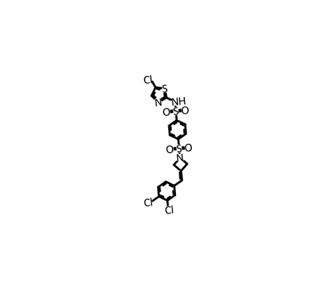 O=S(=O)(Nc1ncc(Cl)s1)c1ccc(S(=O)(=O)N2CC(=Cc3ccc(Cl)c(Cl)c3)C2)cc1